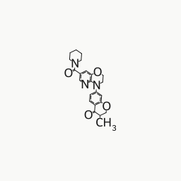 CC1COc2cc(N3CCOc4cc(C(=O)N5CCCCC5)cnc43)ccc2C1=O